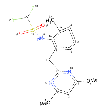 COc1cc(OC)nc(Cc2cccc(C)c2NS(=O)(=O)C(F)F)n1